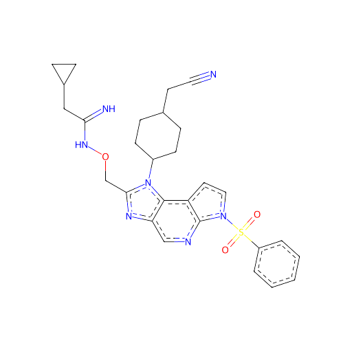 N#CCC1CCC(n2c(CONC(=N)CC3CC3)nc3cnc4c(ccn4S(=O)(=O)c4ccccc4)c32)CC1